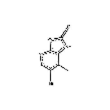 Cc1c(Br)cnc2oc(=O)[nH]c12